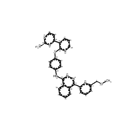 COCc1cccc(-c2nnc(Nc3ccc(Oc4ncccc4-c4ccnc(N)n4)cc3)c3ccccc23)n1